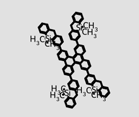 C[Si]1(C)c2ccccc2Cc2cc(-c3ccc4c5ccc(-c6ccc7c(c6)[Si](C)(C)c6ccccc6C7)cc5c5c6cc(-c7ccc8c(c7)[Si](C)(C)c7ccccc7C8)ccc6c6ccc(-c7ccc8c(c7)[Si](C)(C)c7ccccc7C8)cc6c5c4c3)ccc21